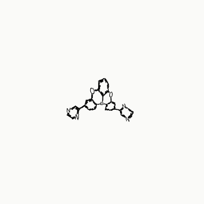 c1cc2c3c(c1)Oc1cc(-c4cnccn4)ccc1B3c1ccc(-c3cnccn3)cc1O2